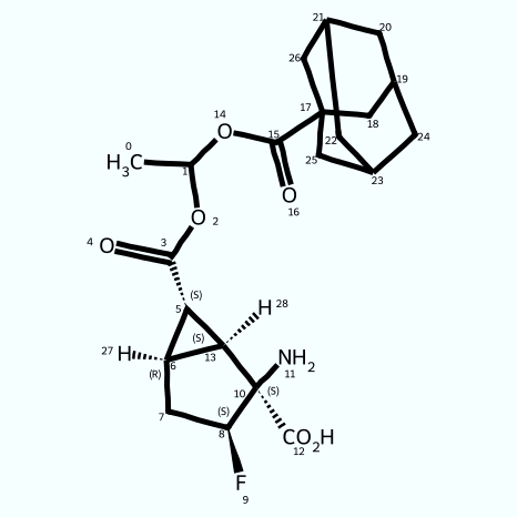 CC(OC(=O)[C@H]1[C@@H]2C[C@H](F)[C@@](N)(C(=O)O)[C@@H]21)OC(=O)C12CC3CC(CC(C3)C1)C2